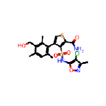 Cc1cc(C)c(-c2csc(C(N)=O)c2S(=O)(=O)Nc2onc(C)c2Cl)c(C)c1CO